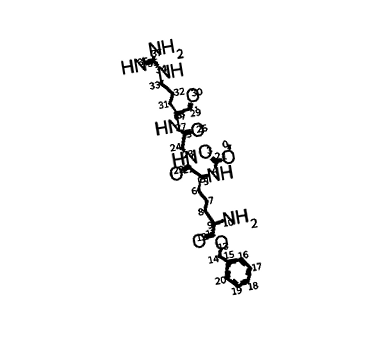 COC(=O)N[C@@H](CCCC(N)C(=O)OCc1ccccc1)C(=O)NCC(=O)N[C@H]([C]=O)CCCNC(=N)N